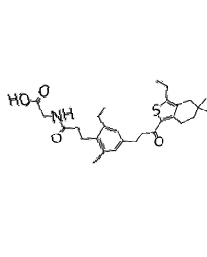 CCc1cc(CCC(=O)c2sc(CC)c3c2CCC(C)(C)C3)cc(C)c1CCC(=O)NCC(=O)O